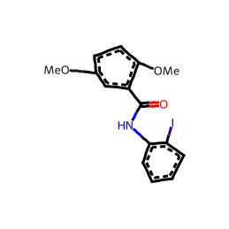 COc1ccc(OC)c(C(=O)Nc2ccccc2I)c1